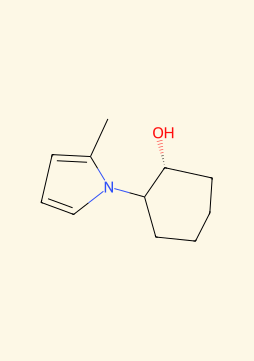 Cc1cccn1C1CCCC[C@H]1O